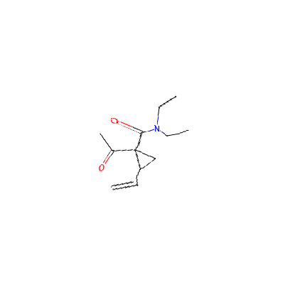 C=CC1CC1(C(C)=O)C(=O)N(CC)CC